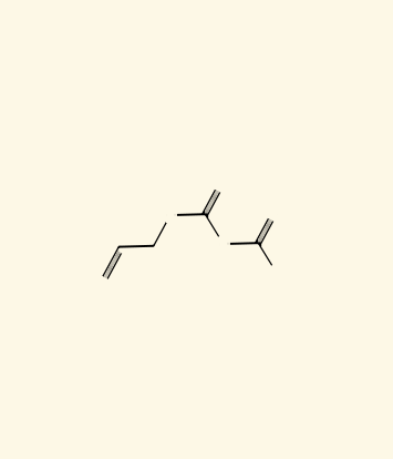 C=CCOC(=O)OC(O)=S